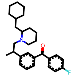 CC(CN1CCCCC1CC1CCCCC1)c1cccc(C(=O)c2ccc(F)cc2)c1